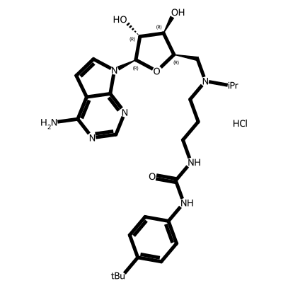 CC(C)N(CCCNC(=O)Nc1ccc(C(C)(C)C)cc1)C[C@H]1O[C@@H](n2ccc3c(N)ncnc32)[C@H](O)[C@H]1O.Cl